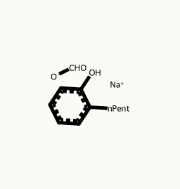 CCCCCc1ccccc1O.O=C[O-].[Na+]